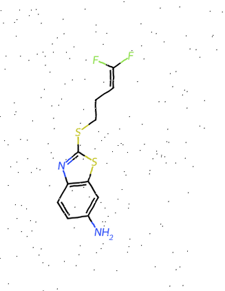 Nc1ccc2nc(SCCC=C(F)F)sc2c1